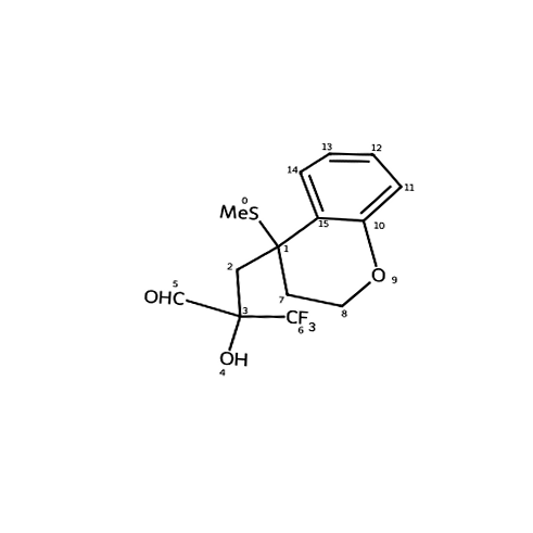 CSC1(CC(O)(C=O)C(F)(F)F)CCOc2ccccc21